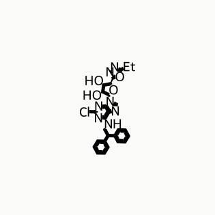 CCc1nnc([C@H]2O[C@@H](n3cnc4c(NCC(c5ccccc5)c5ccccc5)nc(Cl)nc43)[C@H](O)[C@@H]2O)o1